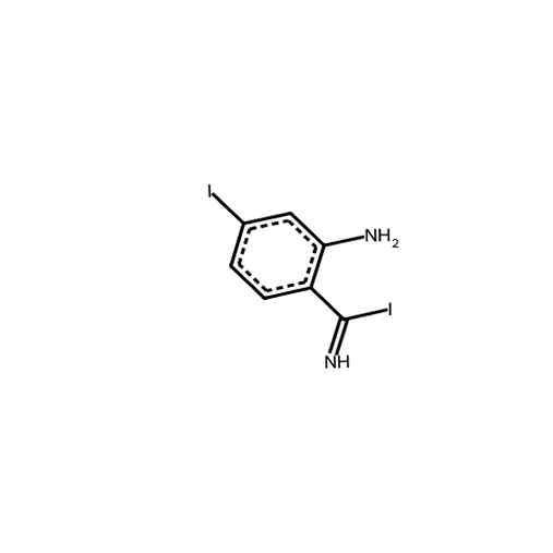 N=C(I)c1ccc(I)cc1N